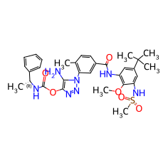 COc1c(NC(=O)c2ccc(C)c(-n3nnc(OC(=O)N[C@H](C)c4ccccc4)c3N)c2)cc(C(C)(C)C)cc1NS(C)(=O)=O